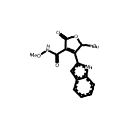 CCCCC1OC(=O)C(C(=O)NOC)=C1c1cc2ccccc2[nH]1